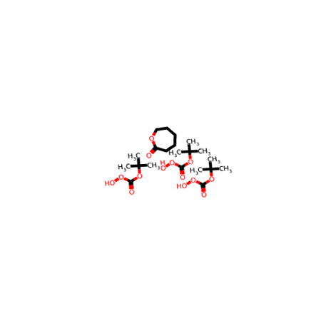 CC(C)(C)OC(=O)OO.CC(C)(C)OC(=O)OO.CC(C)(C)OC(=O)OO.O=C1CCCCCO1